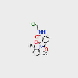 CCc1cccc(C(C)CC)c1N1C(=O)c2cccc(C(=O)NCCCl)c2C1=O